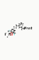 CCCC(C)CCCC(CCC)CCCc1cc(F)c(OC(F)(F)F)c(F)c1